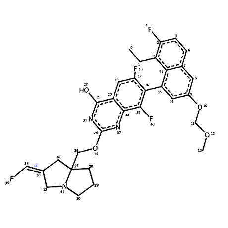 CCc1c(F)ccc2cc(OCOC)cc(-c3c(F)cc4c(O)nc(OCC56CCCN5C/C(=C\F)C6)nc4c3F)c12